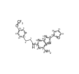 Nc1nc(NCCc2ccc(OC(F)(F)F)cc2)nc2nc(-c3ccco3)nn12